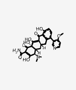 COc1ccncc1-c1ccc(O)c2c1C[C@@H]1C[C@@H]3[C@@H](N(C)C)C(O)=C(C(N)=O)C(=O)[C@@]3(O)C(O)=C1C2=O